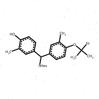 CCCCCCC(c1ccc(O)c(C)c1)c1ccc(OC(C)(C)CC)c(C)c1